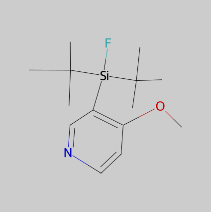 COc1ccncc1[Si](F)(C(C)(C)C)C(C)(C)C